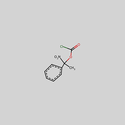 CC(OC(=O)Cl)(c1ccccc1)[N+](=O)[O-]